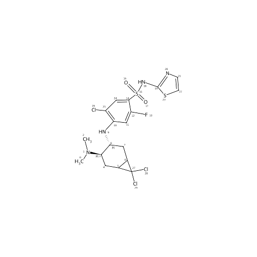 CN(C)[C@@H]1CC2C(C[C@H]1Nc1cc(F)c(S(=O)(=O)Nc3nccs3)cc1Cl)C2(Cl)Cl